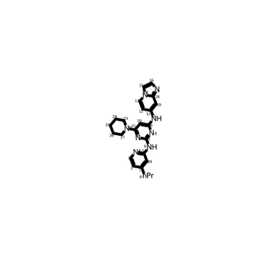 CCCc1ccnc(Nc2nc(Nc3ccn4ccnc4c3)cc(N3CCCCC3)n2)c1